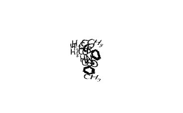 Cc1ccc(S(=O)(=O)Nc2ccccc2B2OC(C)(C)C(C)(C)O2)cc1